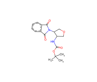 CC(C)(C)OC(=O)NC1COCC1N1C(=O)c2ccccc2C1=O